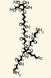 CC(=O)CCCC(=O)NC(COCCC(=O)NCCCN)(COCCC(=O)NCCCN)COCCC(=O)NCCCNC(=O)CCCCO[C@H]1OC(CO)[C@@H](O)C(O)C1O